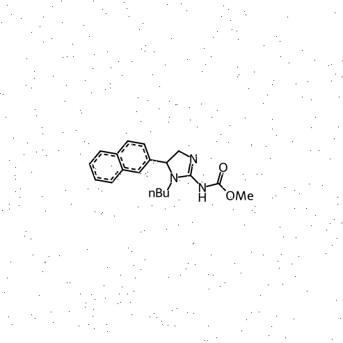 CCCCN1C(NC(=O)OC)=NCC1c1ccc2ccccc2c1